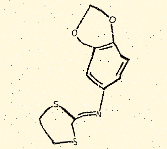 c1cc2c(cc1N=C1SCCS1)OCO2